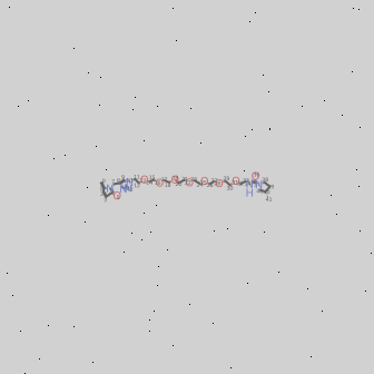 C=C1C=CC(=O)N1Cc1cn(CCOCCOCCOCCOCCOCCOCCOCCNC(=O)N2CC[C@H](C)C2)nn1